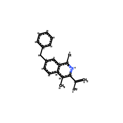 C=C(CCC)c1nc(CC)c2cc(Cc3ccccc3)ccc2c1C